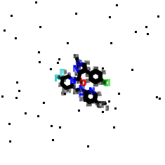 C[C@@H]1CC(F)(F)CN(C(=O)c2nn(C)cc2-c2ccc(Cl)cc2)[C@@H]1CNc1ccc(C(F)(F)F)cn1